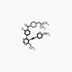 CCc1ncnc(-c2ccc(C(=O)N3CCC(CN(C)C)CC3)c(F)c2)c1C#Cc1ccc(N)nc1